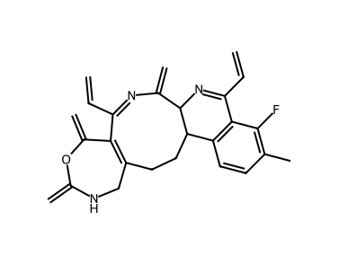 C=CC1=NC2C(=C)/N=C(/C=C)C3=C(CCC2c2ccc(C)c(F)c21)CNC(=C)OC3=C